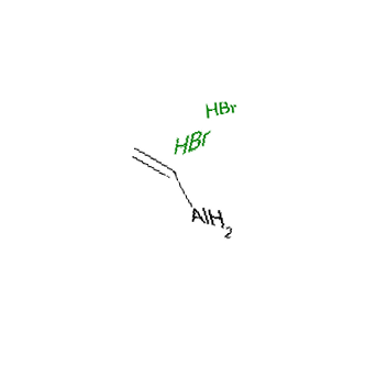 Br.Br.C=[CH][AlH2]